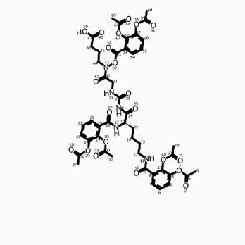 CC(=O)Oc1cccc(C(=O)NCCCC[C@@H](NC(=O)c2cccc(OC(C)=O)c2OC(C)=O)C(=O)NC(=O)NCC(=O)N(CCCC(=O)O)OC(=O)c2cccc(OC(C)=O)c2OC(C)=O)c1OC(C)=O